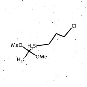 COC(C)(OC)[SiH2]CCCCl